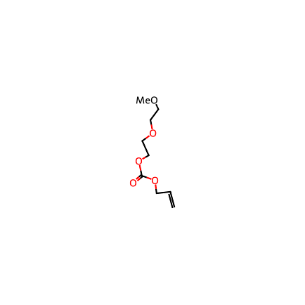 C=CCOC(=O)OCCOCCOC